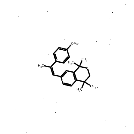 COc1ccc(C(C)=Cc2ccc3c(c2)C(C)(C)CCC3(C)C)cc1